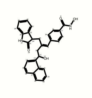 O=C(NO)c1ccc(C=C(CC(O)c2cccc3ccccc23)CC2C(=O)Nc3ccccc32)cc1